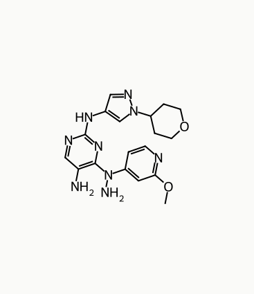 COc1cc(N(N)c2nc(Nc3cnn(C4CCOCC4)c3)ncc2N)ccn1